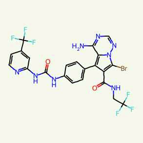 Nc1ncnn2c(Br)c(C(=O)NCC(F)(F)F)c(-c3ccc(NC(=O)Nc4cc(C(F)(F)F)ccn4)cc3)c12